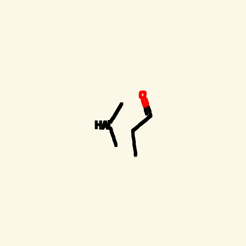 CCC=O.[CH3][AlH][CH3]